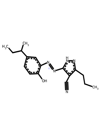 CCCc1n[nH]c(/N=N/c2cc(C(C)CC)ccc2O)c1C#N